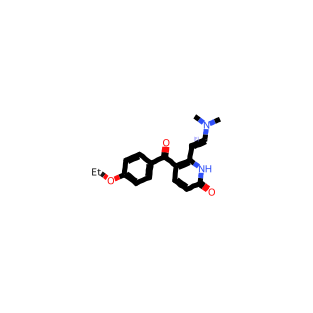 CCOc1ccc(C(=O)c2ccc(=O)[nH]c2/C=C/N(C)C)cc1